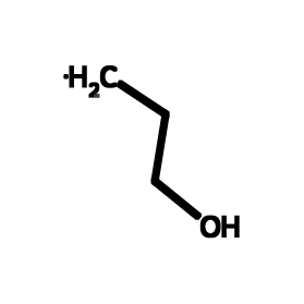 [CH2]CCO